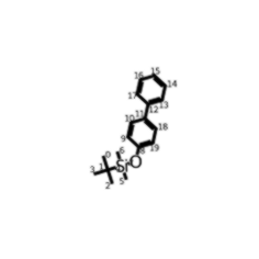 CC(C)(C)[Si](C)(C)Oc1ccc(-c2ccccc2)cc1